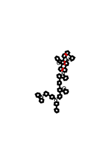 c1ccc(-c2ccc(N(c3ccc(-c4cccc(-n5c6ccccc6c6ccccc65)c4)cc3)c3cccc(-c4ccc(-c5ccc(-c6cccc7c6c6ccccc6n7-c6ccc(-c7ccc(N(c8ccccc8-c8ccccc8)c8ccccc8-c8ccc(-c9ccccc9)c9oc%10ccccc%10c89)cc7)cc6)cc5)c5oc6ccccc6c45)c3)cc2)cc1